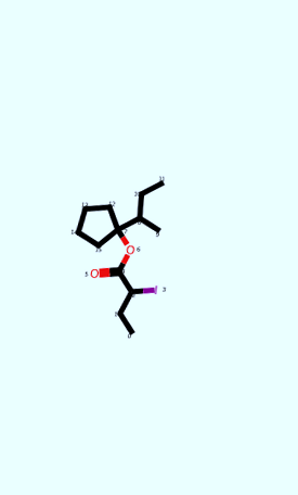 CCC(I)C(=O)OC1(C(C)CC)CCCC1